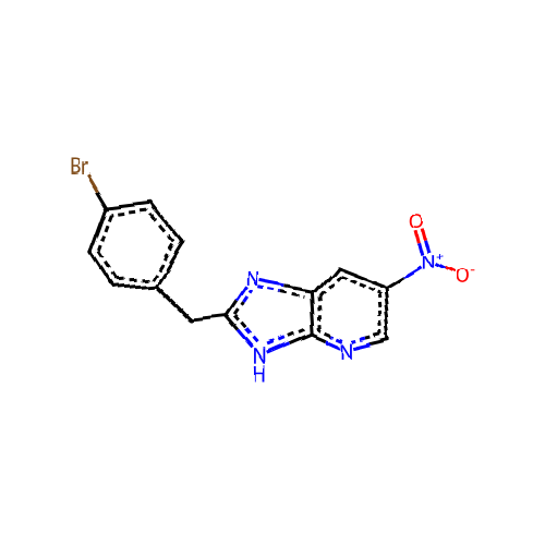 O=[N+]([O-])c1cnc2[nH]c(Cc3ccc(Br)cc3)nc2c1